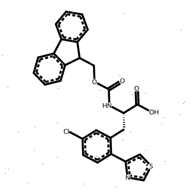 O=C(N[C@@H](Cc1cc(Cl)ccc1-c1cscn1)C(=O)O)OCC1c2ccccc2-c2ccccc21